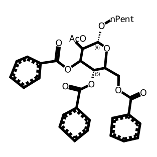 CCCCCO[C@@H]1OC(COC(=O)c2ccccc2)[C@H](OC(=O)c2ccccc2)C(OC(=O)c2ccccc2)C1OC(C)=O